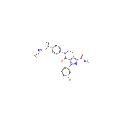 NC(=O)c1nn(-c2cccc(Cl)c2)c2c1CCN(c1ccc(C3(CNC4CC4)CC3)cc1)C2=O